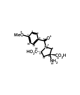 COc1ccc(C(=O)N2C[C@@](N)(C(=O)O)C[C@@H]2C(=O)O)cc1